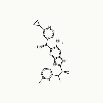 Cc1cccc(C(C)C(=O)c2nc3cc(C(=N)c4ccnc(C5CC5)c4)c(N)cc3[nH]2)n1